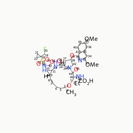 CC[C@@H]1O[C@H](C)CC/C=C\[C@@H]2C[C@@]2(C(=O)NS(=O)(=O)C2(CF)CC2)NC(=O)[C@@H]2C[C@@H](Oc3nc(OC)cc4cc(OC)ccc34)CN2C(=O)[C@H]1NC(=O)O